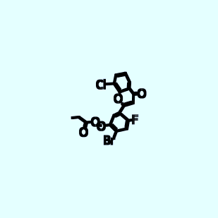 CCC(=O)OOc1cc(-c2cc(=O)c3cccc(Cl)c3o2)c(F)cc1Br